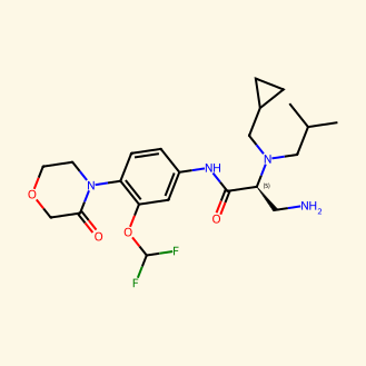 CC(C)CN(CC1CC1)[C@@H](CN)C(=O)Nc1ccc(N2CCOCC2=O)c(OC(F)F)c1